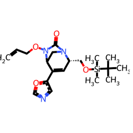 C=CCON1C(=O)N2CC1C(c1cnco1)=C[C@H]2CO[Si](C)(C)C(C)(C)C